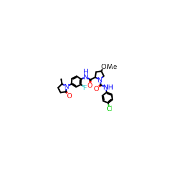 COC1CC(C(=O)Nc2ccc(N3C(=O)CCC3C)cc2F)N(C(=O)Nc2ccc(Cl)cc2)C1